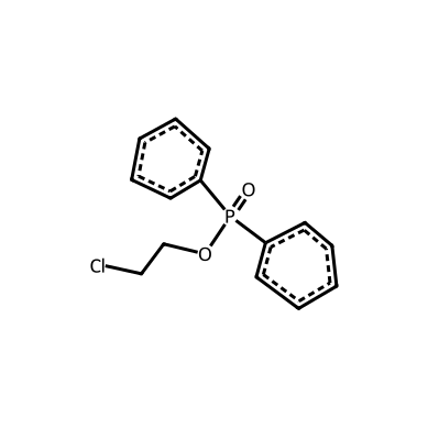 O=P(OCCCl)(c1ccccc1)c1ccccc1